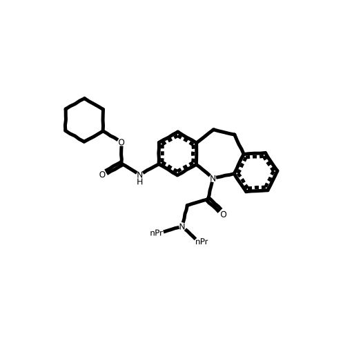 CCCN(CCC)CC(=O)N1c2ccccc2CCc2ccc(NC(=O)OC3CCCCC3)cc21